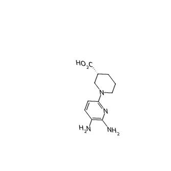 Nc1ccc(N2CCC[C@@H](C(=O)O)C2)nc1N